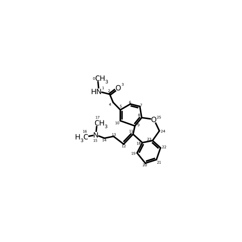 CNC(=O)Cc1ccc2c(c1)/C(=C\CCN(C)C)c1ccccc1CO2